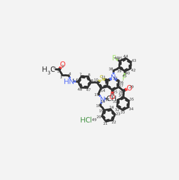 CC(=O)CCNc1ccc(-c2sc3c(c2CN(C)Cc2ccccc2)c(=O)c(C(=O)c2ccccc2)cn3Cc2c(F)cccc2F)cc1.Cl